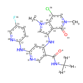 [2H]C([2H])([2H])NC(=O)c1cnc(Nc2ccc(F)cn2)cc1Nc1cn(C)c2c(Cl)cn(C)c(=O)c12